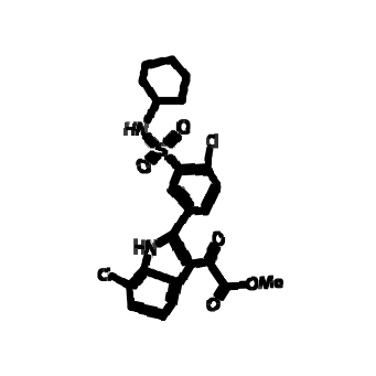 COC(=O)C(=O)c1c(-c2ccc(Cl)c(S(=O)(=O)NC3CCCCC3)c2)[nH]c2c(Cl)cccc12